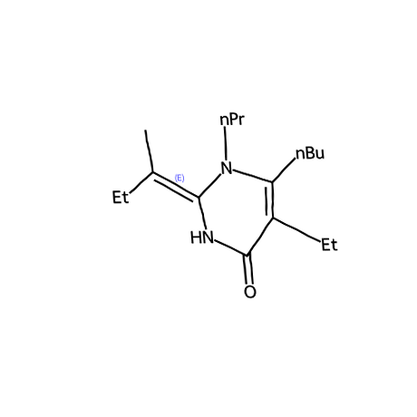 CCCCC1=C(CC)C(=O)N/C(=C(/C)CC)N1CCC